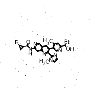 CCC(O)c1cc(C)c(-c2cc3cnc(NC(=O)[C@H]4C[C@H]4F)cc3nc2-c2nccn2C)cn1